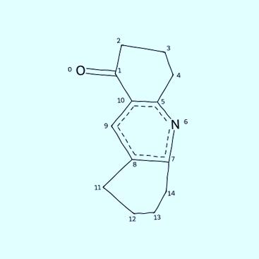 O=C1CCCc2nc3c(cc21)CCCC3